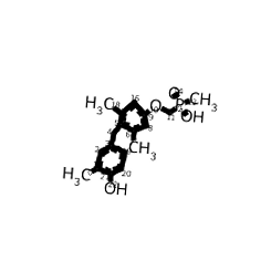 Cc1cc(Cc2c(C)cc(OCP(C)(=O)O)cc2C)ccc1O